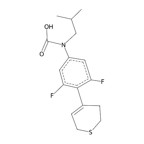 CC(C)CN(C(=O)O)c1cc(F)c(C2=CCSCC2)c(F)c1